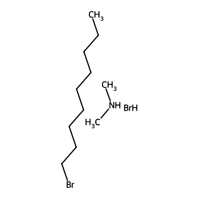 Br.CCCCCCCCCBr.CNC